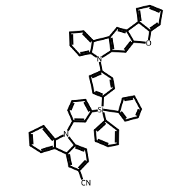 N#Cc1ccc2c(c1)c1ccccc1n2-c1cccc([Si](c2ccccc2)(c2ccccc2)c2ccc(-n3c4ccccc4c4cc5c(cc43)oc3ccccc35)cc2)c1